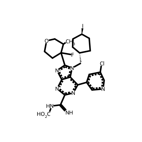 CC1COCCC1(F)c1nc2nc(C(=N)NC(=O)O)nc(-c3cncc(Cl)c3)c2n1C[C@H]1CC[C@H](I)CC1